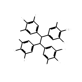 Cc1cc(C(c2cc(C)c(N)c(C(C)C)c2)C(c2cc(C(C)C)c(N)c(C(C)C)c2)c2cc(C(C)C)c(N)c(C(C)C)c2)cc(C(C)C)c1N